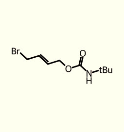 CC(C)(C)NC(=O)OC/C=C/CBr